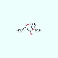 O=C(O)CC(O)(CC(=O)OS(=O)(=O)O)C(=O)O.[BaH2]